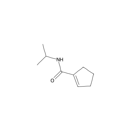 CC(C)NC(=O)C1=CCCC1